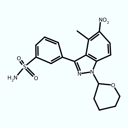 Cc1c([N+](=O)[O-])ccc2c1c(-c1cccc(S(N)(=O)=O)c1)nn2C1CCCCO1